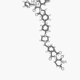 O=C1CCC(N2C(=O)c3ccc(CN4CCN(c5ccc(-c6ccc7c(c6)C(=O)N(C(C(=O)Nc6nccs6)c6cc(F)ccc6O)C7)cc5)CC4)cc3C2=O)C(=O)N1